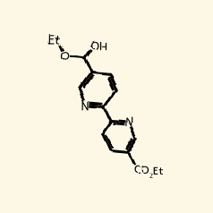 CCOC(=O)c1ccc(-c2ccc(C(O)OCC)cn2)nc1